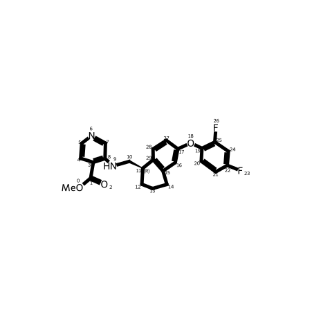 COC(=O)c1ccncc1NC[C@@H]1CCCc2cc(Oc3ccc(F)cc3F)ccc21